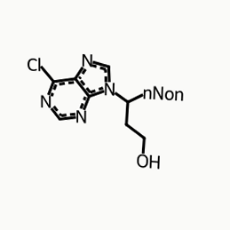 CCCCCCCCCC(CCO)n1cnc2c(Cl)ncnc21